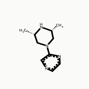 C[C@@H]1CN(c2cnccn2)C[C@H](C)N1